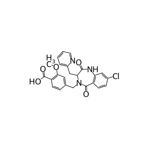 COc1cc(CN2C(=O)c3ccc(Cl)cc3NC(=O)C2Cc2ccccn2)ccc1C(=O)O